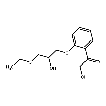 CCSCC(O)COc1ccccc1C(=O)CO